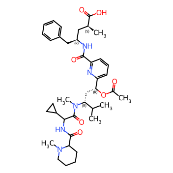 CC(=O)O[C@H](C[C@H](C(C)C)N(C)C(=O)C(NC(=O)C1CCCCN1C)C1CC1)c1cccc(C(=O)N[C@@H](Cc2ccccc2)C[C@H](C)C(=O)O)n1